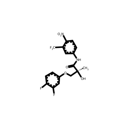 C[C@](O)(COc1ccc(F)c(F)c1)C(=O)Nc1ccc([N+](=O)[O-])c(C(F)(F)F)c1